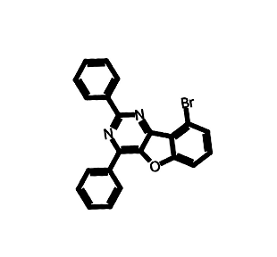 Brc1cccc2oc3c(-c4ccccc4)nc(-c4ccccc4)nc3c12